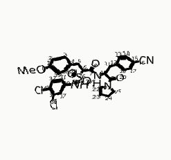 COc1ccc(CC(C(=O)NC(Cc2ccc(C#N)cc2)C(=O)N2CCCC2)S(=O)(=O)Nc2ccc(Cl)c(Cl)c2)cc1